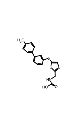 Cc1ccc(-c2cccc(Sc3cnc(CNC(=O)O)s3)c2)cc1